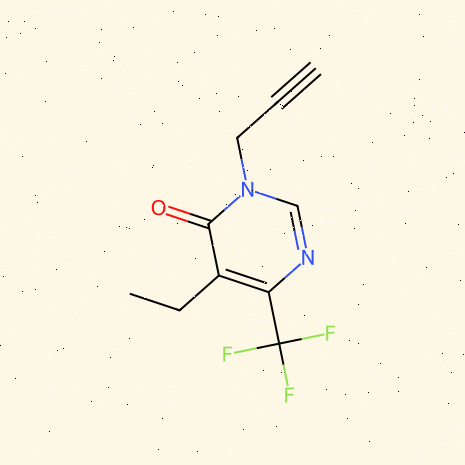 C#CCn1cnc(C(F)(F)F)c(CC)c1=O